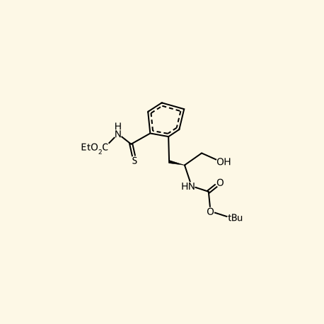 CCOC(=O)NC(=S)c1ccccc1C[C@@H](CO)NC(=O)OC(C)(C)C